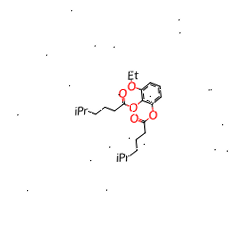 CCOc1cccc(OC(=O)CCCC(C)C)c1OC(=O)CCCC(C)C